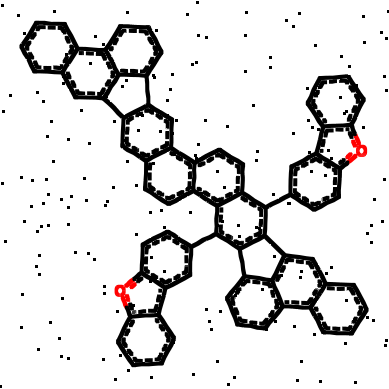 c1ccc2c(c1)cc1c3c(cccc32)-c2cc3c(ccc4c3ccc3c(-c5ccc6oc7ccccc7c6c5)c5c(c(-c6ccc7oc8ccccc8c7c6)c34)-c3cccc4c3c-5cc3ccccc34)cc2-1